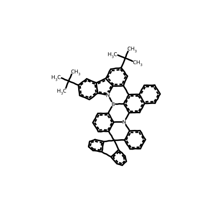 CC(C)(C)c1ccc2c(c1)c1cc(C(C)(C)C)cc3c1n2B1c2cccc4c2N(c2ccccc2C42c4ccccc4-c4ccccc42)c2cc4ccccc4c-3c21